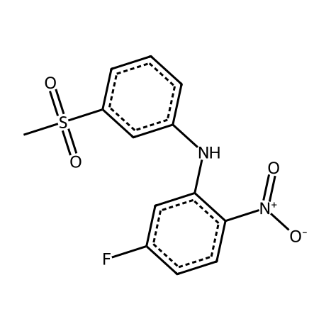 CS(=O)(=O)c1cccc(Nc2cc(F)ccc2[N+](=O)[O-])c1